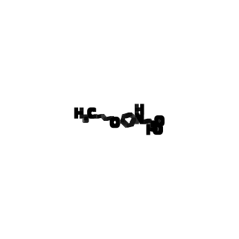 CCCCCOc1ccc(NC=CS(=O)(=O)F)cc1